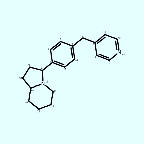 c1cc(Cc2ccc(C3CCC4CCCCN43)cc2)ccn1